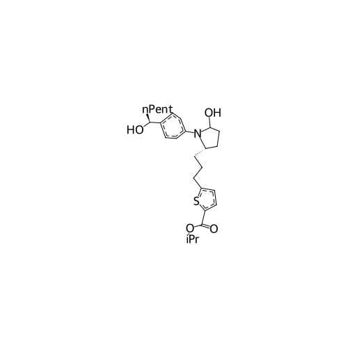 CCCCC[C@H](O)c1ccc(N2C(O)CC[C@@H]2CCCc2ccc(C(=O)OC(C)C)s2)cc1